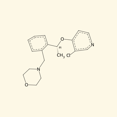 C[C@@H](Oc1ccncc1Cl)c1ccccc1CN1CCOCC1